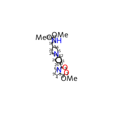 COC(=O)C1CCCN1C(=O)c1ccc(N2CCC(CNC(OC)OC)CC2)cc1